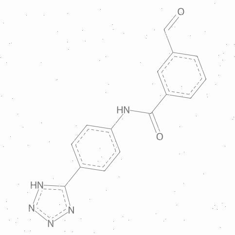 O=Cc1cccc(C(=O)Nc2ccc(-c3nnn[nH]3)cc2)c1